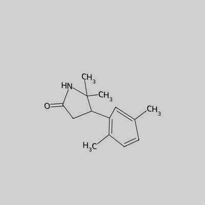 Cc1ccc(C)c(C2CC(=O)NC2(C)C)c1